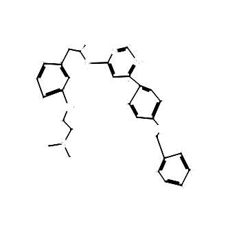 CCOC(=O)[C@H](Cc1cccc(OCCN(C)C)c1)Nc1cc(-c2ccc(OCc3ccccc3)cc2)ncn1